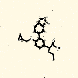 CCCC(C(=O)O)c1ccc(OCC2CC2)c(-c2ccc3nsnc3c2)c1